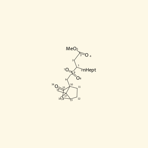 CCCCCCCC(CC(=O)OC)S(=O)(=O)CC12CCC(CC1=O)C2(C)C